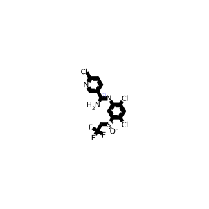 N/C(=N\c1cc([S+]([O-])CC(F)(F)F)c(Cl)cc1Cl)c1ccc(Cl)nc1